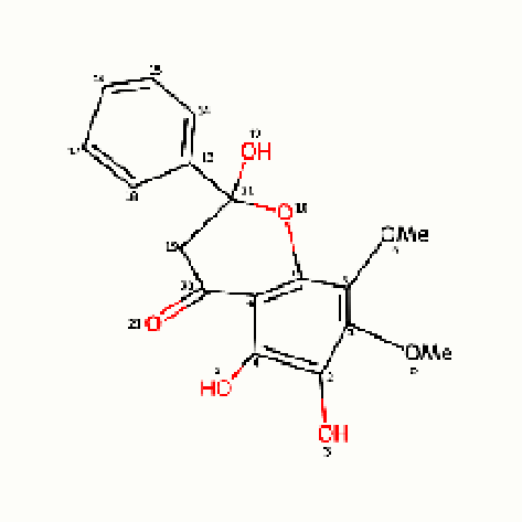 COc1c(O)c(O)c2c(c1OC)OC(O)(c1ccccc1)CC2=O